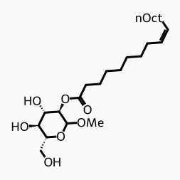 CCCCCCCC/C=C\CCCCCCCC(=O)O[C@H]1C(OC)O[C@H](CO)[C@@H](O)[C@@H]1O